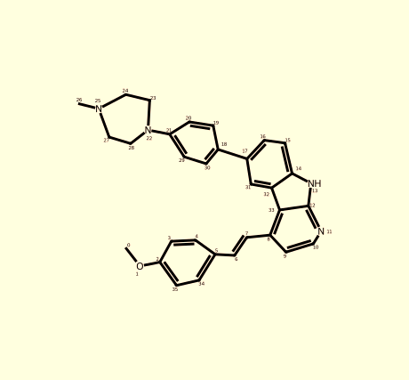 COc1ccc(C=Cc2ccnc3[nH]c4ccc(-c5ccc(N6CCN(C)CC6)cc5)cc4c23)cc1